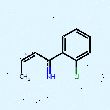 C/C=C\C(=N)c1ccccc1Cl